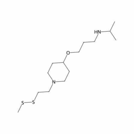 CSSCCN1CCC(OCCCNC(C)C)CC1